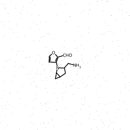 NCC1CC2CC2N1c1ccoc1C=O